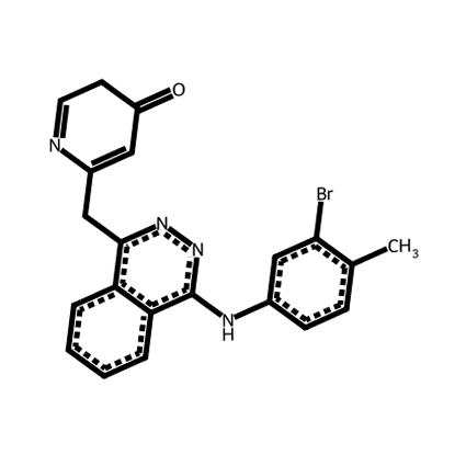 Cc1ccc(Nc2nnc(CC3=CC(=O)CC=N3)c3ccccc23)cc1Br